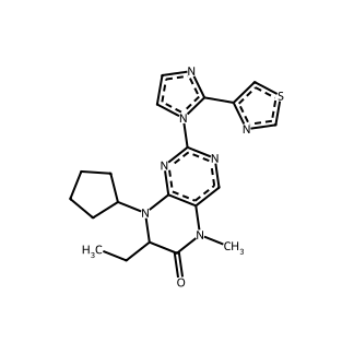 CCC1C(=O)N(C)c2cnc(-n3ccnc3-c3cscn3)nc2N1C1CCCC1